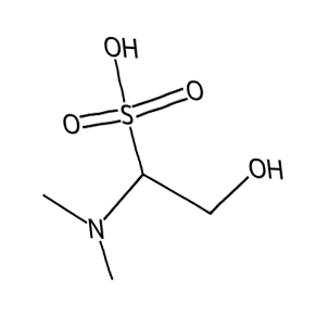 CN(C)C(CO)S(=O)(=O)O